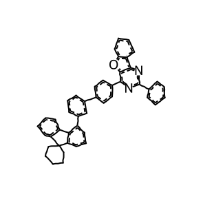 c1ccc(-c2nc(-c3ccc(-c4cccc(-c5cccc6c5-c5ccccc5C65CCCCC5)c4)cc3)c3oc4ccccc4c3n2)cc1